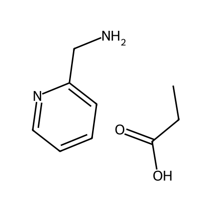 CCC(=O)O.NCc1ccccn1